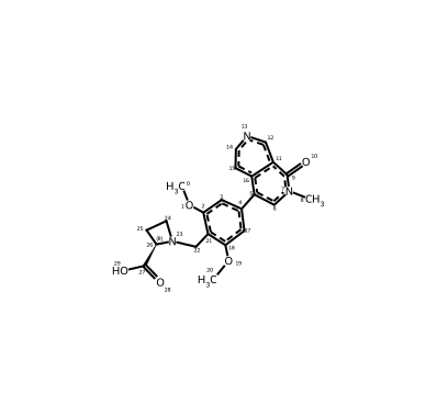 COc1cc(-c2cn(C)c(=O)c3cnccc23)cc(OC)c1CN1CC[C@@H]1C(=O)O